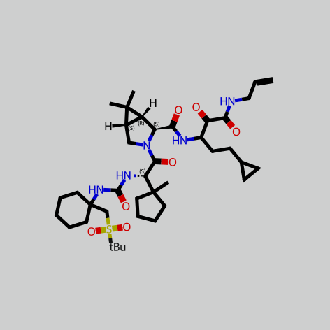 C=CCNC(=O)C(=O)C(CCC1CC1)NC(=O)[C@@H]1[C@@H]2[C@H](CN1C(=O)[C@@H](NC(=O)NC1(CS(=O)(=O)C(C)(C)C)CCCCC1)C1(C)CCCC1)C2(C)C